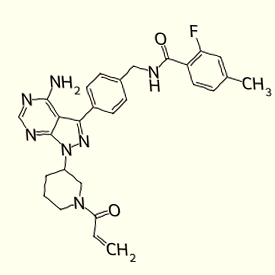 C=CC(=O)N1CCCC(n2nc(-c3ccc(CNC(=O)c4ccc(C)cc4F)cc3)c3c(N)ncnc32)C1